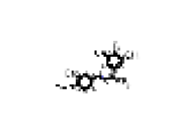 CCc1cc(/C=C/C(c2cc(C)c(F)c(Cl)c2)C(F)(F)F)ccc1C=O